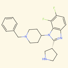 Fc1ccc2nc([C@@H]3CCNC3)n(C3CCN(Cc4ccccc4)CC3)c2c1F